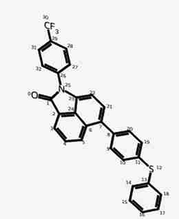 O=C1c2cccc3c(-c4ccc(Sc5ccccc5)cc4)ccc(c23)N1c1ccc(C(F)(F)F)cc1